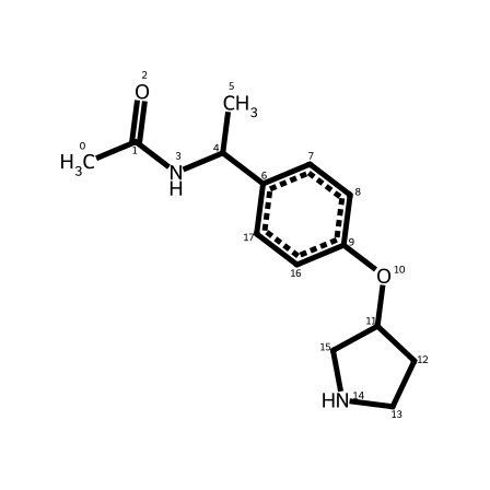 CC(=O)NC(C)c1ccc(OC2CCNC2)cc1